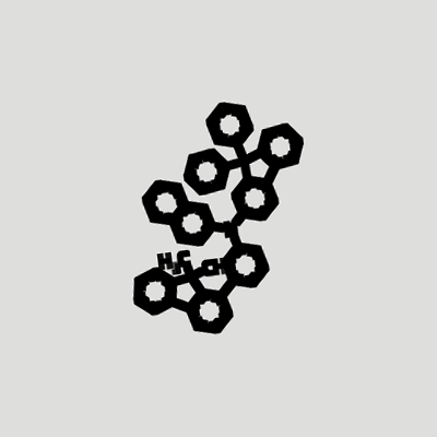 CC1(C)c2ccccc2-c2cccc(-c3cccc(N(c4ccc5c(c4)C(c4ccccc4)(c4ccccc4)c4ccccc4-5)c4ccc5ccccc5c4)c3)c21